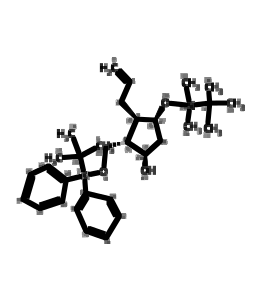 C=CC[C@@H]1[C@@H](CO[Si](c2ccccc2)(c2ccccc2)C(C)(C)C)[C@H](O)C[C@@H]1O[Si](C)(C)C(C)(C)C